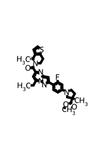 CCc1cc(C(=O)N2CCc3sccc3[C@H]2C)nc2cc(-c3ccc(N4CCC(C)(C(=O)OC)C4)cc3F)nn12